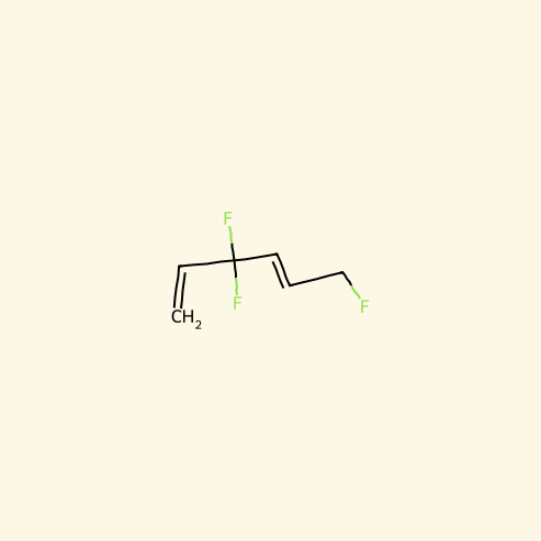 C=CC(F)(F)C=CCF